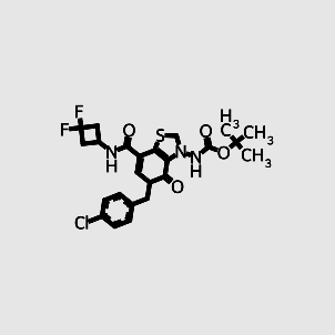 CC(C)(C)OC(=O)NN1CSC2=C1C(=O)C(Cc1ccc(Cl)cc1)C=C2C(=O)NC1CC(F)(F)C1